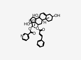 C[C@@H](OC(=O)c1cccnc1)[C@]1(O)CC[C@@]2(O)[C@]1(C)[C@H](OC(=O)/C=C/c1ccccc1)C[C@@H]1[C@@]3(C)CC[C@H](O)CC3=CC[C@]12O